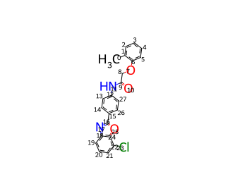 Cc1ccccc1OCC(=O)Nc1ccc(-c2nc3cccc(Cl)c3o2)cc1